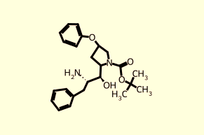 CC(C)(C)OC(=O)N1CC(Oc2ccccc2)CC1[C@@H](O)[C@@H](N)Cc1ccccc1